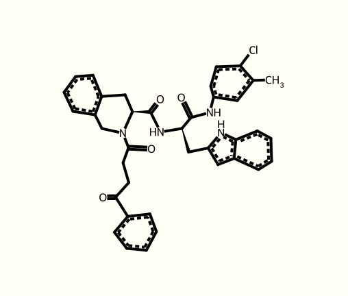 Cc1cc(NC(=O)[C@@H](Cc2cc3ccccc3[nH]2)NC(=O)[C@@H]2Cc3ccccc3CN2C(=O)CCC(=O)c2ccccc2)ccc1Cl